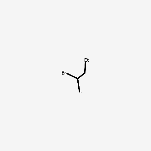 [CH2]C(Br)CCC